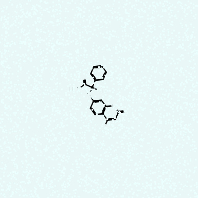 CC(Nc1ccc2c(C(F)(F)F)cc(=O)[nH]c2c1)(C(N)=O)c1ccccc1